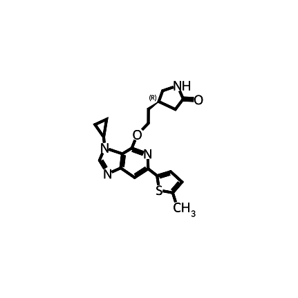 Cc1ccc(-c2cc3ncn(C4CC4)c3c(OCC[C@H]3CNC(=O)C3)n2)s1